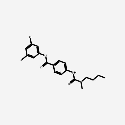 CCCCN(C)C(=O)Nc1ccc(C(=O)Oc2cc(Cl)cc(Cl)c2)cc1